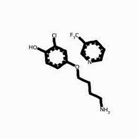 FC(F)(F)c1cccnc1.NCCCCOc1ccc(O)c(Cl)c1